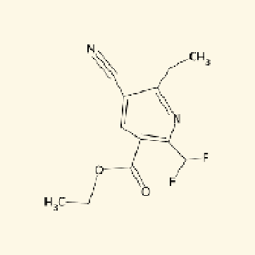 CCOC(=O)c1cc(C#N)c(CC)nc1C(F)F